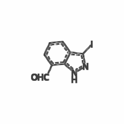 O=Cc1cccc2c(I)n[nH]c12